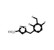 CCOC(=O)c1cc(Cc2ccc(F)c(CF)c2F)on1